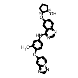 Cc1cc(Nc2ncnc3ccc(O[C@H]4CCC[C@@H]4O)cc23)ccc1Oc1ccn2ncnc2c1